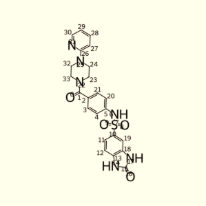 O=C(c1ccc(NS(=O)(=O)c2ccc3[nH]c(=O)[nH]c3c2)cc1)N1CCN(c2ccccn2)CC1